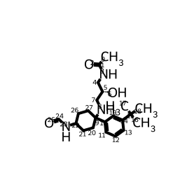 CC(=O)NC[C@H](O)CNC1(c2cccc(C(C)(C)C)c2)CCC(NC=O)CC1